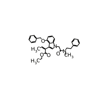 C/C=C(\C(=O)OCC)c1cn(CC(=O)N(C)CCc2ccccc2)c2cccc(OCc3ccccc3)c12